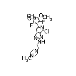 COc1cc(OC)c(F)c(-c2cc3cnc(NCCN4CCN(C)CC4)nc3c(Cl)n2)c1F